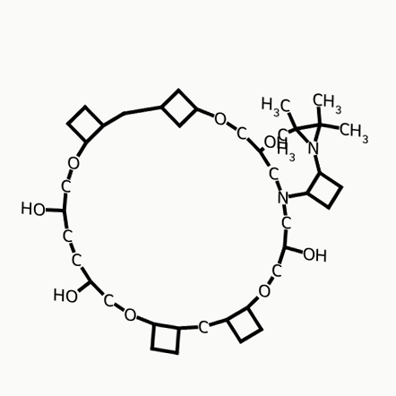 CC1(C)N(C2CCC2N2CC(O)COC3CC(C3)CC3CCC3OCC(O)CCC(O)COC3CCC3CC3CCC3OCC(O)C2)C1(C)C